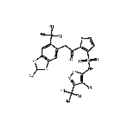 [2H]C1Oc2cc(CC(=O)c3sccc3S(=O)(=O)Nc3onc(C([2H])([2H])[2H])c3Cl)c(C([2H])([2H])[2H])cc2O1